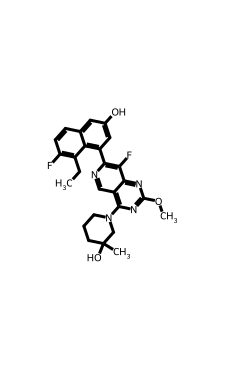 CCc1c(F)ccc2cc(O)cc(-c3ncc4c(N5CCCC(C)(O)C5)nc(OC)nc4c3F)c12